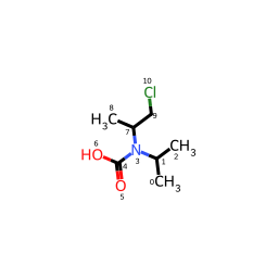 CC(C)N(C(=O)O)C(C)CCl